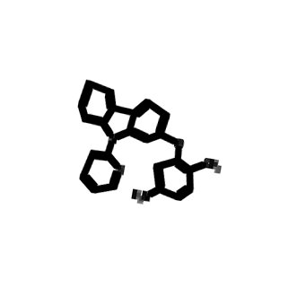 Cc1ccc(N)cc1Oc1ccc2c3ccccc3n(-c3ccccn3)c2c1